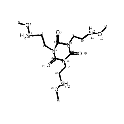 CO[SiH2]CCn1c(=O)n(CC[SiH2]OC)c(=O)n(CC[SiH2]OC)c1=O